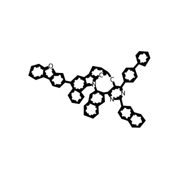 c1ccc(-c2ccc(-c3nc(-c4ccc5ccccc5c4)nc4c3Cc3ccc5c6cc(-c7ccc8c(c7)oc7ccccc78)c7ccccc7c6n(c5c3)-c3cc5ccccc5cc3-4)cc2)cc1